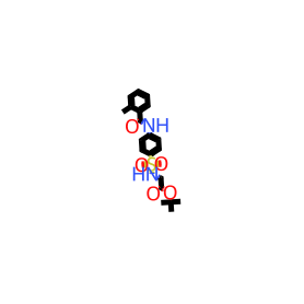 Cc1ccccc1C(=O)Nc1ccc(S(=O)(=O)NCC(=O)OC(C)(C)C)cc1